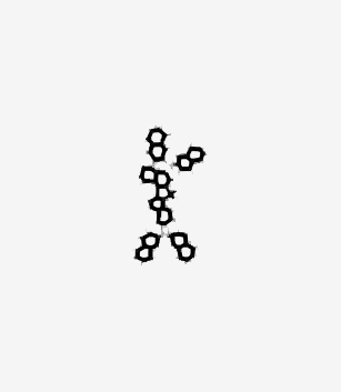 CC1(C)c2cc(N(c3ccc4ccccc4c3)c3ccc4ccccc4c3)c3ccccc3c2-c2ccc3cc(N(c4ccc5ccccc5c4)c4ccc5ccccc5c4)ccc3c21